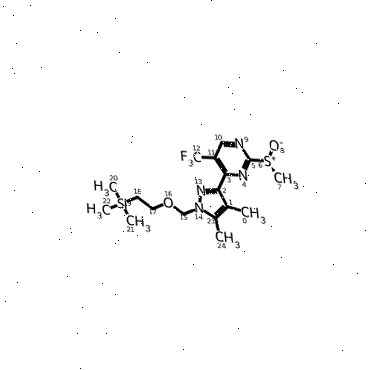 Cc1c(-c2nc([S@+](C)[O-])ncc2C(F)(F)F)nn(COCC[Si](C)(C)C)c1C